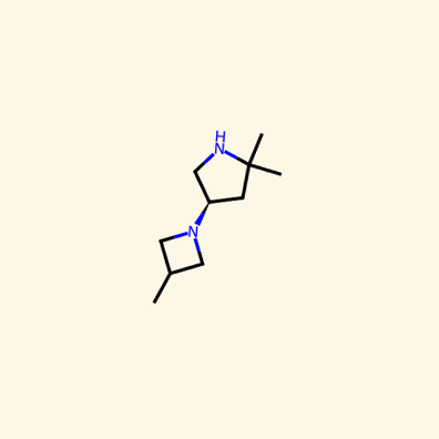 CC1CN([C@H]2CNC(C)(C)C2)C1